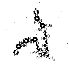 CCCN(CC(=O)N(CCC)CC(=O)N(CC(N)=O)C/C(N)=C/NCCCNC(=O)CCCOc1c(C(C)(C)C)cc(-c2nc3cc(N4CCN(C)CC4)ccc3[nH]2)cc1C(C)(C)C)C(=O)CCCOc1cccc(-c2nc3ccc(-c4nc5ccc(N6CCN(C)CC6)cc5[nH]4)cc3[nH]2)c1